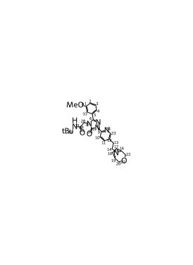 COc1cccc(-c2nn(-c3ccc(CCN4C5CCC4COC5)cn3)c(=O)n2CC(=O)NC(C)(C)C)c1